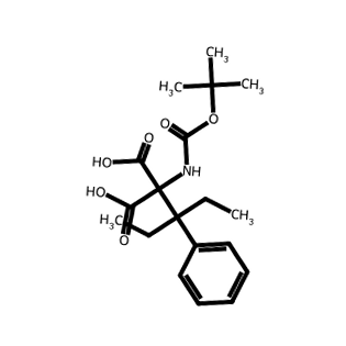 CCC(CC)(c1ccccc1)C(NC(=O)OC(C)(C)C)(C(=O)O)C(=O)O